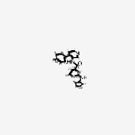 O=C(Nc1cnccc1-c1ccc(F)cc1)c1ccnc(NC2CCCC2)n1